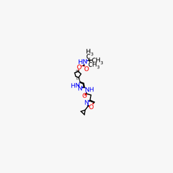 CC(C)(C)NC(=O)O[C@@H]1CC[C@H](c2cc(NC(=O)Cc3coc(C4CC4)n3)n[nH]2)C1